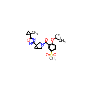 CC(Oc1ccc(S(C)(=O)=O)cc1C(=O)N1CC2CC2(c2noc(C3(C(F)(F)F)CC3)n2)C1)C(F)(F)F